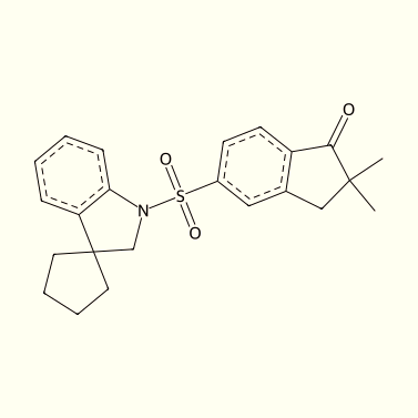 CC1(C)Cc2cc(S(=O)(=O)N3CC4(CCCC4)c4ccccc43)ccc2C1=O